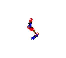 CCc1c2c(nc3ccc(OC(=O)OC(C)(C)C)cc13)-c1cc3c(c(=O)n1C2)COC(=O)[C@@]3(CC)OC(=O)OCCSSCCOC(=O)N(C)c1ccc(N2CCN(C)CC2)cc1